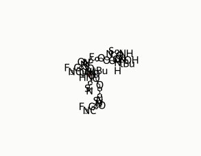 Cc1ncsc1-c1ccc(CNC(=O)[C@@H]2C[C@@H](Oc3cc(N4C(=O)C(C)(C)N(c5ccc(-c6ccc(OCCOCCOCC(=O)N[C@H](C(=O)N7C[C@H](O)C[C@H]7C(=O)N[C@@H](C)c7ccc(-c8scnc8C)cc7)C(C)(C)C)cc6)c(F)c5)C4=S)cc(C(F)(F)F)c3C#N)CN2C(=O)[C@@H](NC(=O)COCCCOc2ccc(-c3ccc(N4C(=S)N(c5ccc(C#N)c(C(F)(F)F)c5)C(=O)C4(C)C)cc3)cc2)C(C)(C)C)cc1